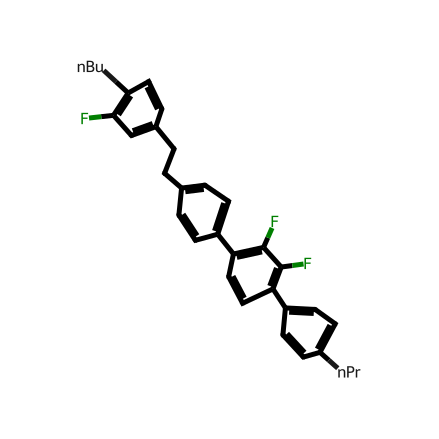 CCCCc1ccc(CCc2ccc(-c3ccc(-c4ccc(CCC)cc4)c(F)c3F)cc2)cc1F